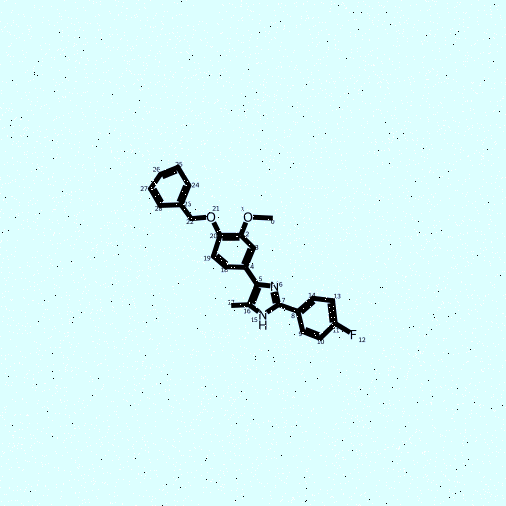 COc1cc(-c2nc(-c3ccc(F)cc3)[nH]c2C)ccc1OCc1ccccc1